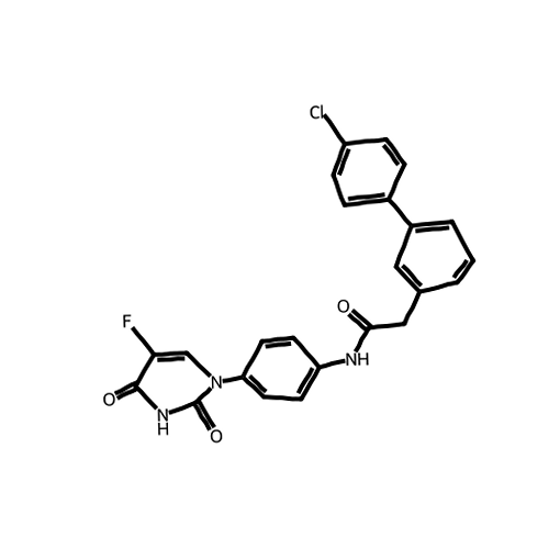 O=C(Cc1cccc(-c2ccc(Cl)cc2)c1)Nc1ccc(-n2cc(F)c(=O)[nH]c2=O)cc1